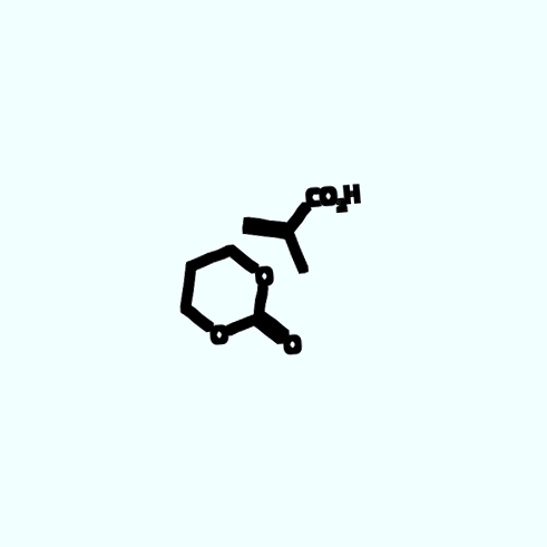 C=C(C)C(=O)O.O=C1OCCCO1